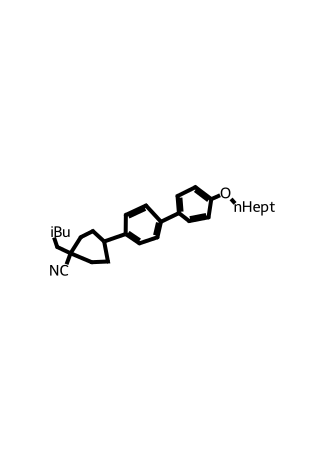 CCCCCCCOc1ccc(-c2ccc(C3CCC(C#N)(CC(C)CC)CC3)cc2)cc1